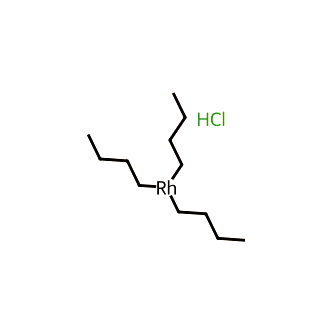 CCC[CH2][Rh]([CH2]CCC)[CH2]CCC.Cl